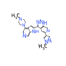 CN1CCN(c2cncc3[nH]c(-c4n[nH]c5cnc(-c6cnn(C)c6)cc45)cc23)CC1